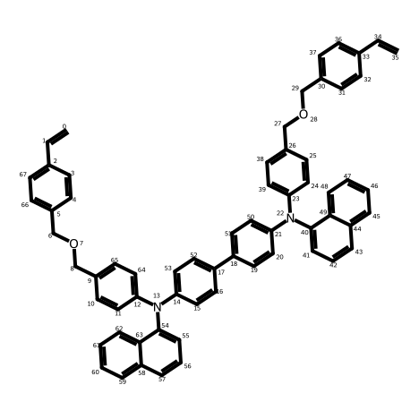 C=Cc1ccc(COCc2ccc(N(c3ccc(-c4ccc(N(c5ccc(COCc6ccc(C=C)cc6)cc5)c5cccc6ccccc56)cc4)cc3)c3cccc4ccccc34)cc2)cc1